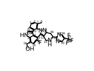 Cc1cccc(C)c1-n1nc2c(c1-c1c(F)cc(CO)c3[nH]ccc13)CNC(c1ncc(C(F)(F)F)cn1)C2